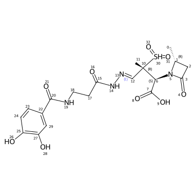 C[C@@H]1CC(=O)N1[C@@H](C(=O)O)[C@](C)(/C=N/NC(=O)CCNC(=O)c1ccc(O)c(O)c1)[SH](=O)=O